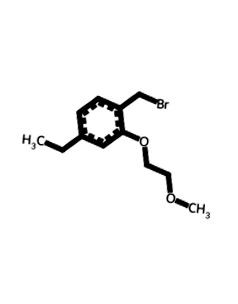 CCc1ccc(CBr)c(OCCOC)c1